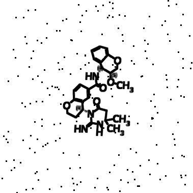 CO[C@@H]1COc2ccccc2[C@H]1NC(=O)c1ccc2c(c1)[C@H](N1C(=N)NC(C)(C)CC1=O)CCO2